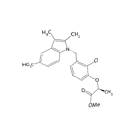 COC(=O)[C@H](C)Oc1cccc(Cn2c(C)c(C)c3cc(C(=O)O)ccc32)c1Cl